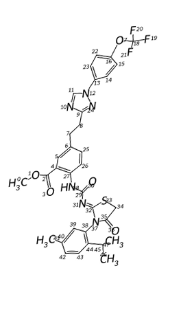 COC(=O)c1cc(CCc2ncn(-c3ccc(OC(F)(F)F)cc3)n2)ccc1NC(=O)/N=C1\SCC(=O)N1c1cc(C)ccc1C(C)C